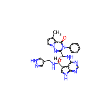 Cc1ccn2nc([C@H](C)Nc3ncnc4[nH]cc(C(=O)NCc5cn[nH]c5)c34)n(-c3ccccc3)c(=O)c12